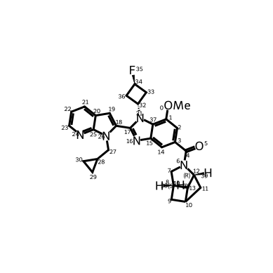 COc1cc(C(=O)N2C[C@H]3CC4C[C@@H]2[C@H]43)cc2nc(-c3cc4cccnc4n3CC3CC3)n([C@H]3C[C@H](F)C3)c12